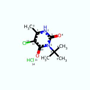 Cc1[nH]c(=O)n(C(C)(C)C)c(=O)c1Cl.Cl